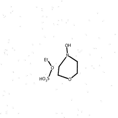 CCOS(=O)(=O)O.ON1CCOCC1